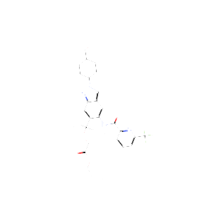 CCOC(=O)COC(C)(C)c1cc2nn(C3CCC(CO)CC3)cc2cc1NC(=O)c1cccc(C(F)(F)F)n1